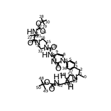 CC(Cc1ccc(-n2ccc(NC(=O)N3CCN(C(=O)C(C)(C)NC(=O)OC(C)(C)C)CC3)nc2=O)cc1)N1C[C@@H]2C(CNC(=O)OC(C)(C)C)[C@@H]2C1